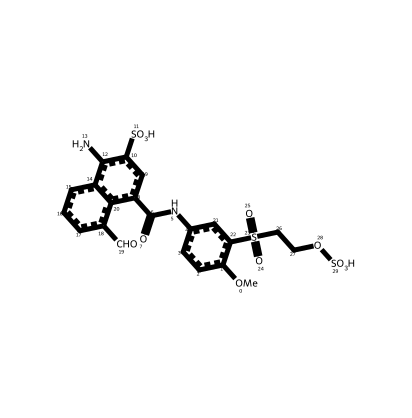 COc1ccc(NC(=O)c2cc(S(=O)(=O)O)c(N)c3cccc(C=O)c23)cc1S(=O)(=O)CCOS(=O)(=O)O